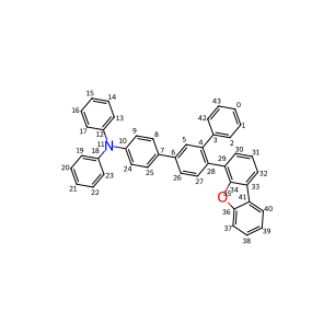 c1ccc(-c2cc(-c3ccc(N(c4ccccc4)c4ccccc4)cc3)ccc2-c2cccc3c2oc2ccccc23)cc1